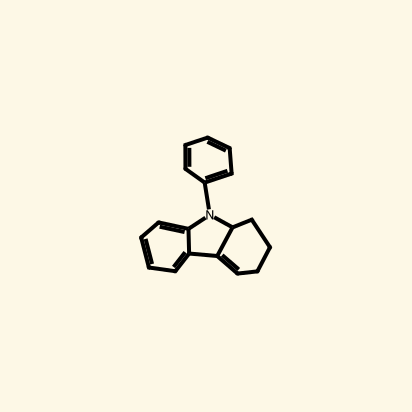 C1=C2c3ccccc3N(c3ccccc3)C2CCC1